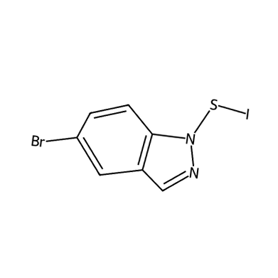 Brc1ccc2c(cnn2SI)c1